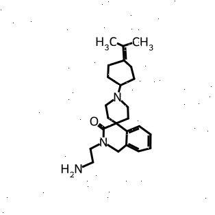 CC(C)=C1CCC(N2CCC3(CC2)C(=O)N(CCN)Cc2ccccc23)CC1